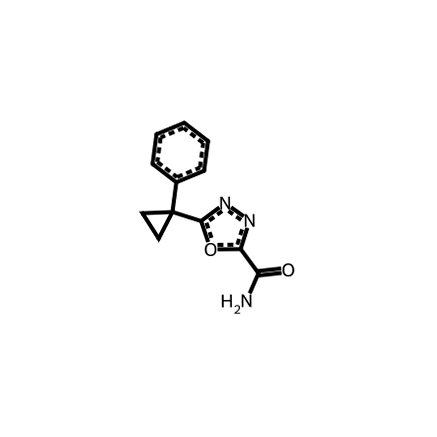 NC(=O)c1nnc(C2(c3ccccc3)CC2)o1